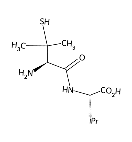 CC(C)[C@H](NC(=O)[C@@H](N)C(C)(C)S)C(=O)O